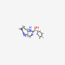 OC(c1ccccc1)c1ncc2nccc-2[nH]1